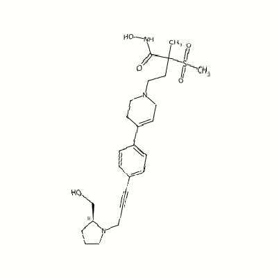 CC(CCN1CC=C(c2ccc(C#CCN3CCC[C@H]3CO)cc2)CC1)(C(=O)NO)S(C)(=O)=O